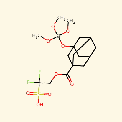 CO[Si](OC)(OC)OC12CC3CC(C1)CC(C(=O)OCC(F)(F)S(=O)(=O)O)(C3)C2